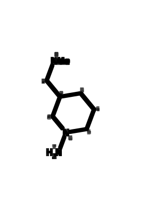 CNCC1CCCN(N)C1